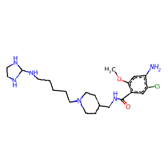 COc1cc(N)c(Cl)cc1C(=O)NCC1CCN(CCCCCNC2NCCN2)CC1